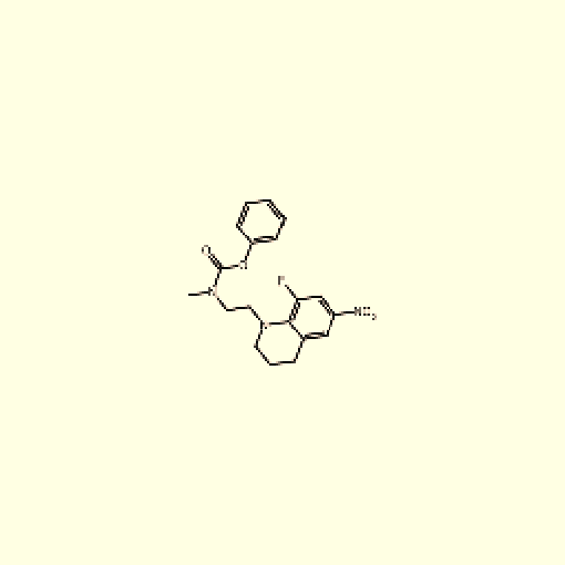 CN(CCN1CCCc2cc([N+](=O)[O-])cc(F)c21)C(=O)Oc1ccccc1